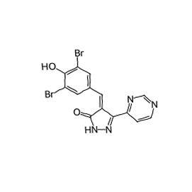 O=C1NN=C(c2ccncn2)C1=Cc1cc(Br)c(O)c(Br)c1